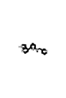 CN(Cc1cccnc1)c1cccc(-c2ccnc3[nH]ccc23)n1